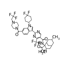 CC1CC2CC(C)C(NC(=O)c3cnc(-c4cn(C5CCC(F)(F)CC5)c5cc(C(=O)N6CCN(CC(F)(F)F)CC6)ccc45)nc3C(F)(F)F)(C(=O)O)C(C1)C2